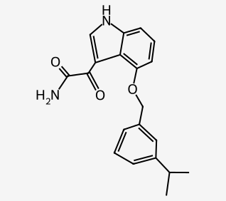 CC(C)c1cccc(COc2cccc3[nH]cc(C(=O)C(N)=O)c23)c1